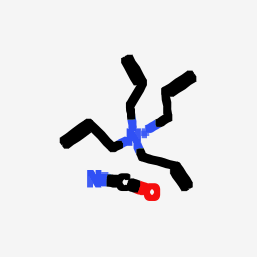 C=CC[N+](CC=C)(CC=C)CC=C.[N-]=C=O